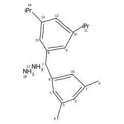 Cc1cc(C)cc(Cc2cc(C(C)C)cc(C(C)C)c2)c1.N.N